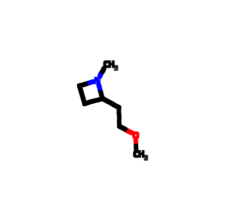 COCCC1CCN1C